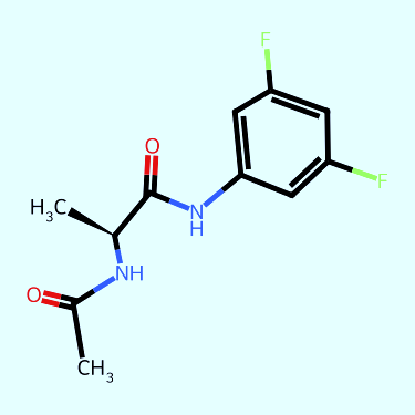 CC(=O)N[C@@H](C)C(=O)Nc1cc(F)cc(F)c1